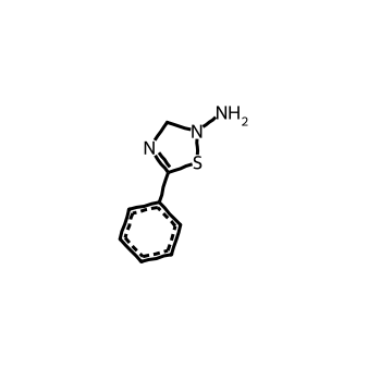 NN1CN=C(c2ccccc2)S1